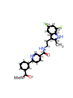 CNC(=O)c1cccc(-c2ccc(C(=O)NCCc3c(C)[nH]c4c(F)cc(F)cc34)cn2)c1